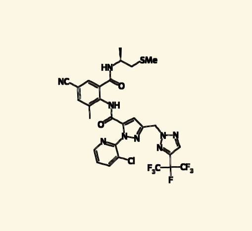 CSC[C@H](C)NC(=O)c1cc(C#N)cc(C)c1NC(=O)c1cc(Cn2ncc(C(F)(C(F)(F)F)C(F)(F)F)n2)nn1-c1ncccc1Cl